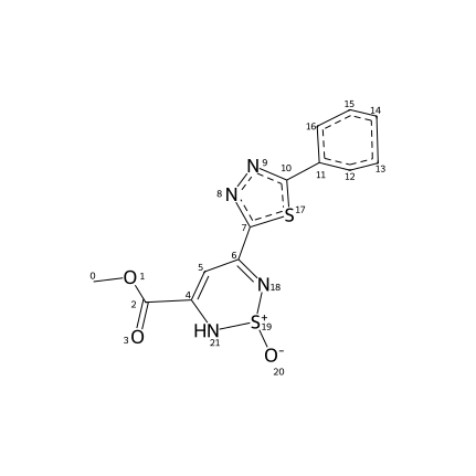 COC(=O)C1=CC(c2nnc(-c3ccccc3)s2)=N[S+]([O-])N1